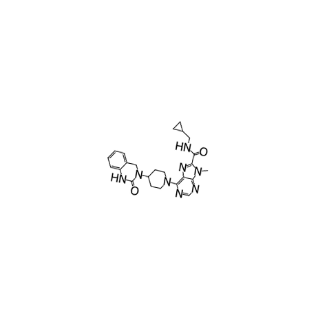 Cn1c(C(=O)NCC2CC2)nc2c(N3CCC(N4Cc5ccccc5NC4=O)CC3)ncnc21